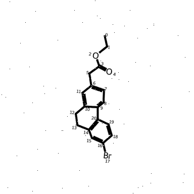 CCOC(=O)Cc1ccc2c(c1)CCc1cc(Br)ccc1-2